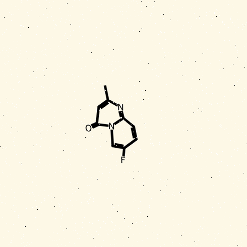 Cc1cc(=O)n2cc(F)ccc2n1